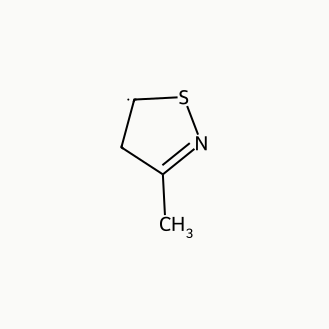 CC1=NS[CH]C1